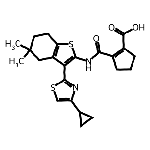 CC1(C)CCc2sc(NC(=O)C3=C(C(=O)O)CCC3)c(-c3nc(C4CC4)cs3)c2C1